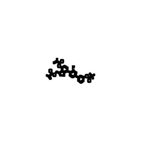 C=C(C)C(=O)OCC1CCc2c(-c3ccc(-c4cccc(OC(=O)C(C)(C)C)c4)cc3F)ccc(OC(=O)C(=C)C)c21